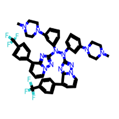 CN1CCN(c2cccc(N(c3nc4c(-c5ccc(C(F)(F)F)cc5)cccn4n3)N(c3cccc(N4CCN(C)CC4)c3)c3nc4c(-c5ccc(C(F)(F)F)cc5)cccn4n3)c2)CC1